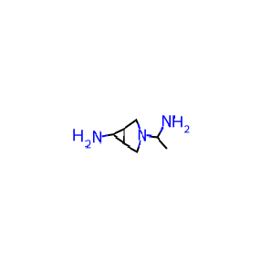 CC(N)N1CC2C(N)C2C1